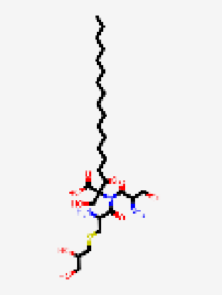 CCCCCCCCCCCCCCCC(=O)C(CO)(C(=O)O)N(C(=O)C(N)CO)C(=O)C(N)CSCC(O)CO